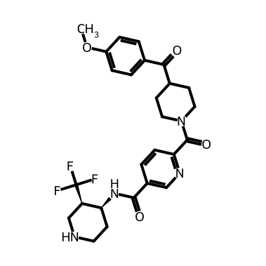 COc1ccc(C(=O)C2CCN(C(=O)c3ccc(C(=O)N[C@H]4CCNC[C@H]4C(F)(F)F)cn3)CC2)cc1